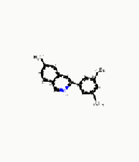 Cc1cc(-c2cc3cc(C)ccc3cn2)cc(C(C)(C)C)c1